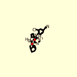 Cc1c(Nc2ccc(C#N)cc2Cl)ncnc1OC1C2CCC1CN(C(=O)OC1(C)CCC1)C2